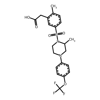 Cc1ccc(S(=O)(=O)N2CCN(c3ccc(OC(F)(F)F)cc3)CC2C)cc1CC(=O)O